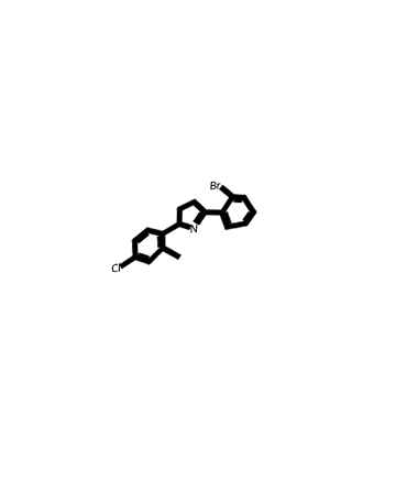 Cc1cc(Cl)ccc1C1CCC(c2ccccc2Br)=N1